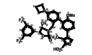 COc1ccc(-c2csc(C(=O)O)c2C)cc1-c1ccc(N2CCC2)nc1CN1C(=O)O[C@H](c2cc(C(F)(F)F)cc(C(F)(F)F)c2)[C@@H]1C